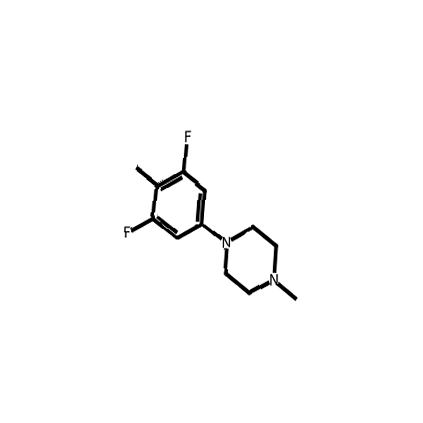 Cc1c(F)cc(N2CCN(C)CC2)cc1F